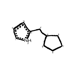 c1c[nH]c(CC2CCCC2)c1